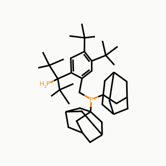 CC(C)(C)c1cc(CP(C23CC4CC(CC(C4)C2)C3)C23CC4CC(CC(C4)C2)C3)c(C(P)(C(C)(C)C)C(C)(C)C)cc1C(C)(C)C